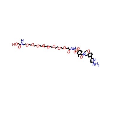 Cc1cc(S(=O)(=O)CCNC(=O)CCOCCOCCOCCOCCOCCOCCOCCOCCNC(=O)CO)ccc1C(=O)N1CCOc2ccc(-c3ccc(N)nc3)cc2C1